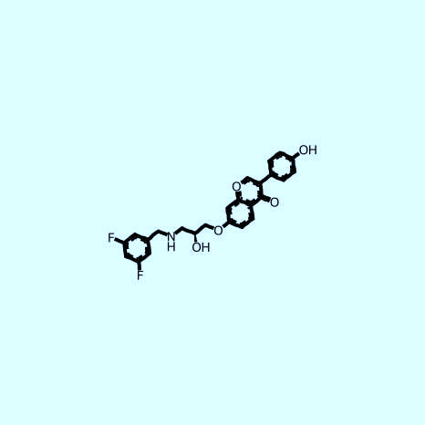 O=c1c(-c2ccc(O)cc2)coc2cc(OC[C@@H](O)CNCc3cc(F)cc(F)c3)ccc12